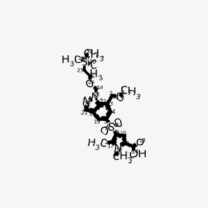 COCc1cc(S(=O)(=O)c2cc(C(=O)O)n(C)c2C)cc2cnn(COCC[Si](C)(C)C)c12